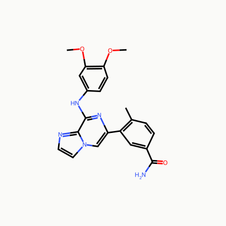 COc1ccc(Nc2nc(-c3cc(C(N)=O)ccc3C)cn3ccnc23)cc1OC